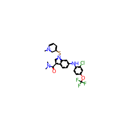 CN1C=CC=C(Sn2cc(C(=O)N(C)C)c3ccc(Nc4ccc(OC(F)(F)F)cc4Cl)cc32)C1